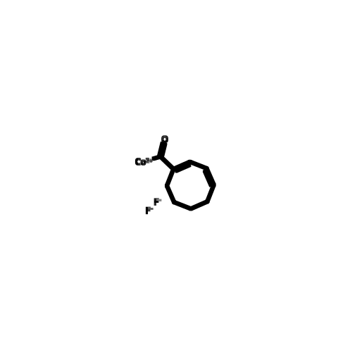 O=[C]([Co+2])C1=CC=CCCCC1.[F-].[F-]